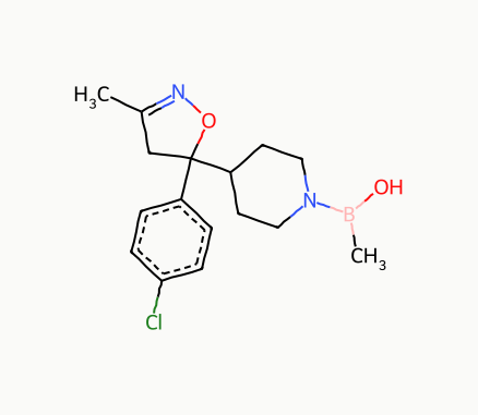 CB(O)N1CCC(C2(c3ccc(Cl)cc3)CC(C)=NO2)CC1